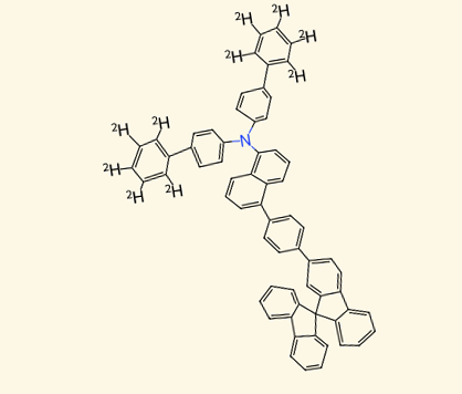 [2H]c1c([2H])c([2H])c(-c2ccc(N(c3ccc(-c4c([2H])c([2H])c([2H])c([2H])c4[2H])cc3)c3cccc4c(-c5ccc(-c6ccc7c(c6)C6(c8ccccc8-c8ccccc86)c6ccccc6-7)cc5)cccc34)cc2)c([2H])c1[2H]